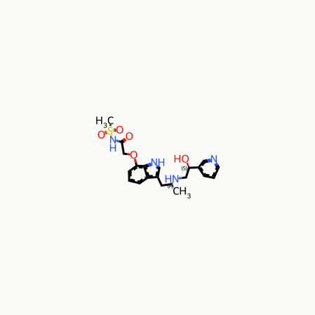 C[C@H](Cc1c[nH]c2c(OCC(=O)NS(C)(=O)=O)cccc12)NC[C@@H](O)c1cccnc1